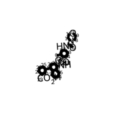 Cc1cc(NC(=O)N2CCOCC2)ccc1S(=O)(=O)Nc1ccc(-c2cccc(C(=O)O)c2)c2ccccc12